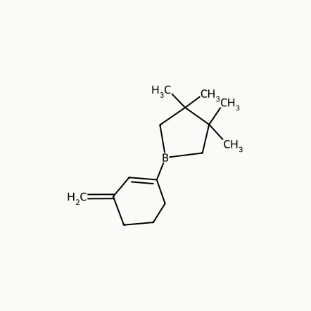 C=C1C=C(B2CC(C)(C)C(C)(C)C2)CCC1